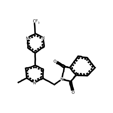 Cc1cc(-c2cnc(C(F)(F)F)nc2)cc(CN2C(=O)c3ccccc3C2=O)n1